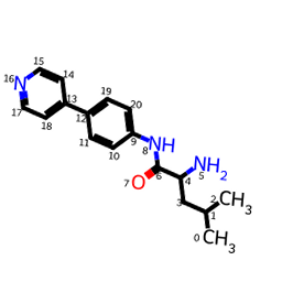 CC(C)CC(N)C(=O)Nc1ccc(-c2ccncc2)cc1